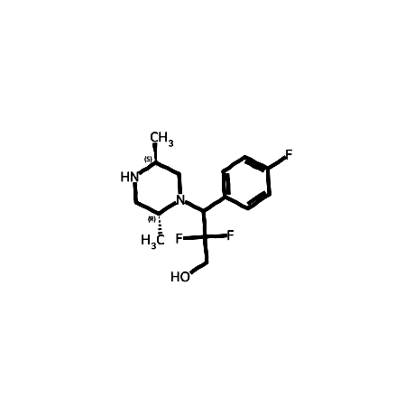 C[C@@H]1CN[C@@H](C)CN1C(c1ccc(F)cc1)C(F)(F)CO